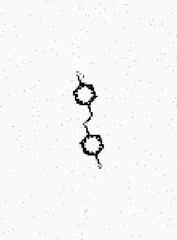 Cc1ccc(COc2ccc(Cl)cc2)cc1